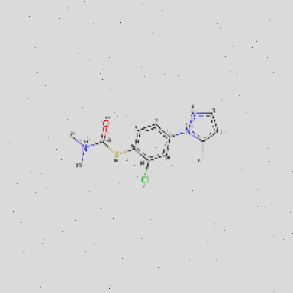 Cc1ccnn1-c1ccc(SC(=O)N(C)C)c(Cl)c1